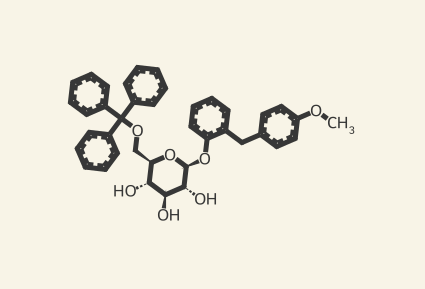 COc1ccc(Cc2ccccc2O[C@@H]2O[C@H](COC(c3ccccc3)(c3ccccc3)c3ccccc3)[C@@H](O)[C@H](O)[C@H]2O)cc1